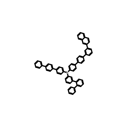 c1ccc(-c2ccc(-c3ccc(N(c4ccc(-c5ccc(-c6cccc(-c7ccc8ccccc8c7)c6)cc5)cc4)c4cccc(-c5ccccc5-c5ccccc5)c4)cc3)cc2)cc1